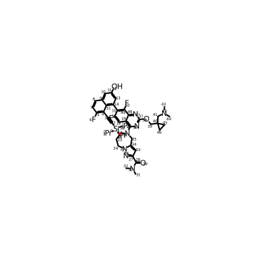 CC(C)[Si](C#Cc1c(F)ccc2cc(O)cc(-c3c(F)cc4c(N5CCCn6nc(C(=O)N(C)C)cc6C5)nc(OCC5(CN(C)C)CC5)nc4c3F)c12)(C(C)C)C(C)C